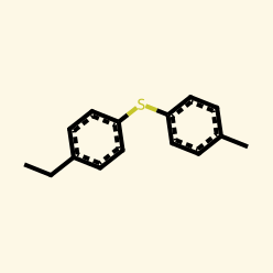 CCc1ccc(Sc2ccc(C)cc2)cc1